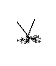 CCCCCCCCCCCCCCC(CCCCCCCCCCCCCC)C(=O)N[C@@H](COC1O[C@H]([C@H](C)O)[C@@H](O)[C@@H]1O)C(=O)N[C@@H](CCC(=O)O)C(=O)O